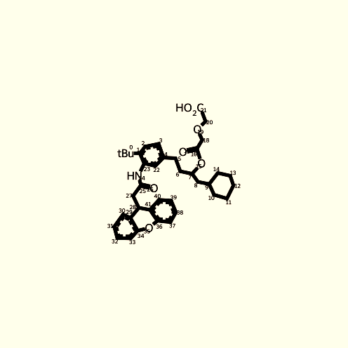 CC(C)(C)c1ccc(CCC(CC2CCCCC2)OC(=O)COCC(=O)O)cc1NC(=O)CC1c2ccccc2Oc2ccccc21